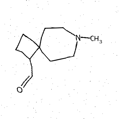 CN1CCC2(CCC2C=O)CC1